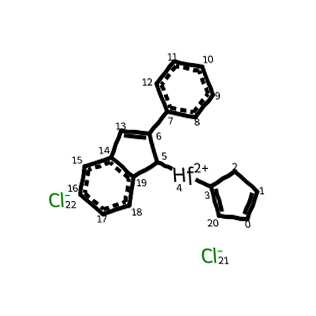 C1=CC[C]([Hf+2][CH]2C(c3ccccc3)=Cc3ccccc32)=C1.[Cl-].[Cl-]